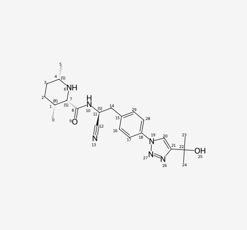 C[C@@H]1CC[C@H](C)N[C@@H]1C(=O)N[C@H](C#N)Cc1ccc(-n2cc(C(C)(C)O)nn2)cc1